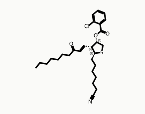 CCCCCCCC(=O)C=C[C@H]1[C@H](CCCCCCC#N)SC[C@H]1OC(=O)c1ccccc1Cl